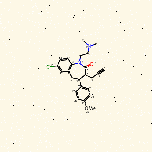 C#CC[C@@H]1C(=O)N(CCN(C)C)c2ccc(Cl)cc2C[C@@H]1c1ccc(OC)cc1